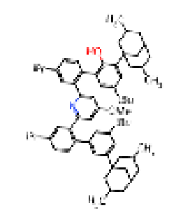 COc1cc(-c2cc(C(C)C)ccc2-c2cc(C(C)(C)C)cc(C34CC(C)CC(CC(C)C3)C4)c2)nc(-c2cc(C(C)C)ccc2-c2cc(C(C)(C)C)cc(C34CC(C)CC(CC(C)C3)C4)c2O)c1